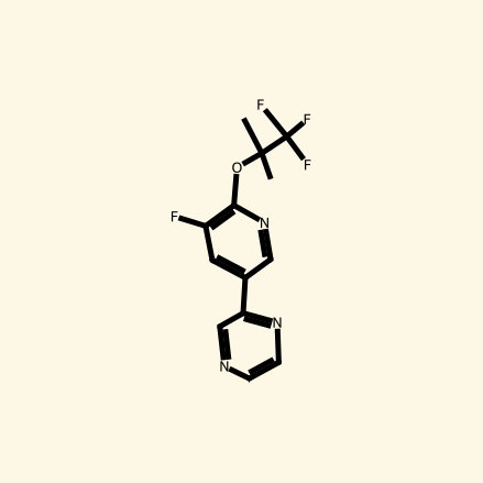 CC(C)(Oc1ncc(-c2cn[c]cn2)cc1F)C(F)(F)F